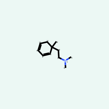 CN(C)CCC1(C)C=CC=CC1